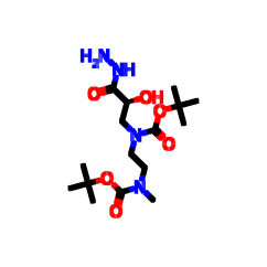 CN(CCN(C[C@H](O)C(=O)NN)C(=O)OC(C)(C)C)C(=O)OC(C)(C)C